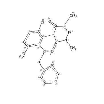 CC1=NN(C)C(=O)C(c2c(Cl)ccc(C)c2OCc2ccccn2)C1=O